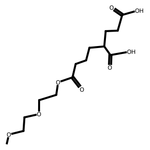 COCCOCCOC(=O)CCCC(CCC(=O)O)C(=O)O